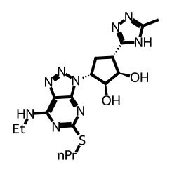 CCCSc1nc(NCC)c2nnn([C@@H]3C[C@H](c4nnc(C)[nH]4)[C@@H](O)[C@H]3O)c2n1